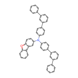 c1ccc(-c2cccc(-c3ccc(N(c4ccc(-c5cccc(-c6ccccc6)c5)cc4)c4ccc5oc6ccccc6c5c4)cc3)c2)cc1